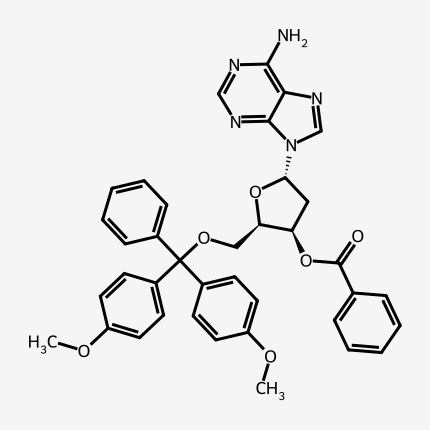 COc1ccc(C(OC[C@H]2O[C@H](n3cnc4c(N)ncnc43)C[C@H]2OC(=O)c2ccccc2)(c2ccccc2)c2ccc(OC)cc2)cc1